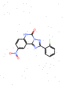 O=c1[nH]c2ccc([N+](=O)[O-])cc2c2nc(-c3ccccc3F)nn12